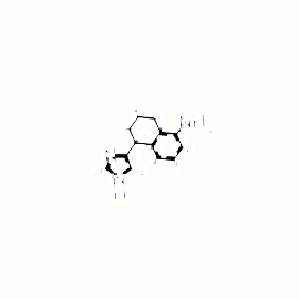 Nc1cccc2c1CCCC2c1c[nH]cn1